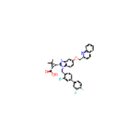 CC1(C)[C@H](C(=O)O)[C@@H]1c1nc2cc(OCc3ccc4ccccc4n3)ccc2n1Cc1ccc(-c2ccc(F)c(F)c2)cc1F